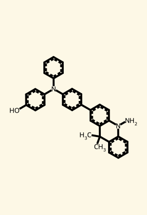 CC1(C)c2ccccc2N(N)c2ccc(-c3ccc(N(c4ccccc4)c4ccc(O)cc4)cc3)cc21